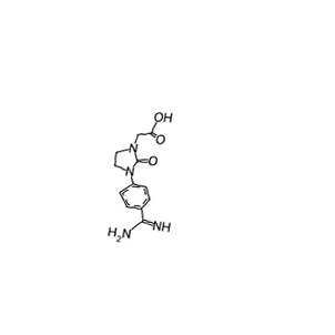 N=C(N)c1ccc(N2CCN(CC(=O)O)C2=O)cc1